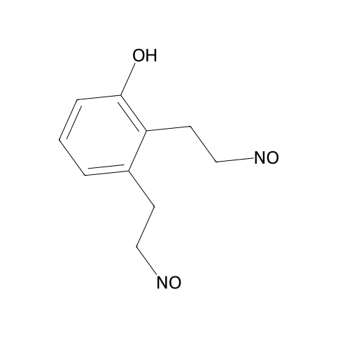 O=NCCc1cccc(O)c1CCN=O